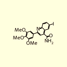 COc1cc(-c2cc(C(N)=O)c3cc(I)ccc3n2)cc(OC)c1OC